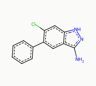 Nc1n[nH]c2cc(Cl)c(-c3ccccc3)cc12